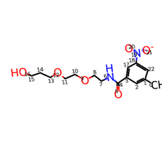 Cc1cc(C(=O)NCCOCCOCCCO)cc([N+](=O)[O-])c1